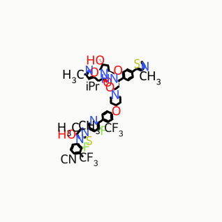 Cc1cc(C(C(=O)N2C[C@H](O)C[C@H]2C(=O)N[C@@H](CC(=O)N2CCC(Oc3ccc(-c4ncc(N5C(=S)N(c6ccc(C#N)c(C(F)(F)F)c6F)C(O)C5(C)C)cc4F)c(C(F)(F)F)c3)CC2)c2ccc(-c3scnc3C)cc2)C(C)C)on1